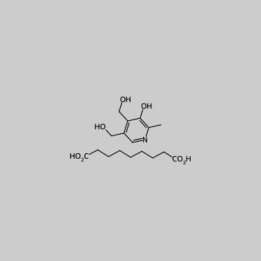 Cc1ncc(CO)c(CO)c1O.O=C(O)CCCCCCCC(=O)O